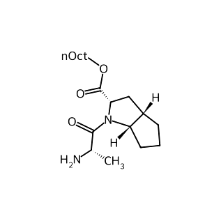 CCCCCCCCOC(=O)[C@@H]1C[C@@H]2CCC[C@@H]2N1C(=O)[C@H](C)N